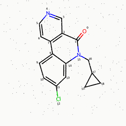 O=c1c2cnccc2c2ccc(Cl)cc2n1CC1CC1